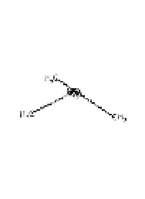 CCCCCCCCCCCCCCCCCCCCCC(=O)OC(CCCCCCCCCCC)OC(=O)CCCCCCCCCCCCCCCCCCCCC